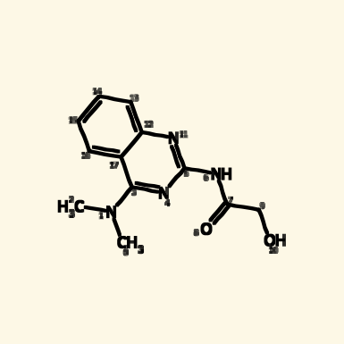 CN(C)c1nc(NC(=O)CO)nc2ccccc12